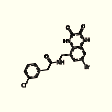 O=C(Cc1cccc(Cl)c1)NCc1cc(Br)cc2[nH]c(=O)c(=O)[nH]c12